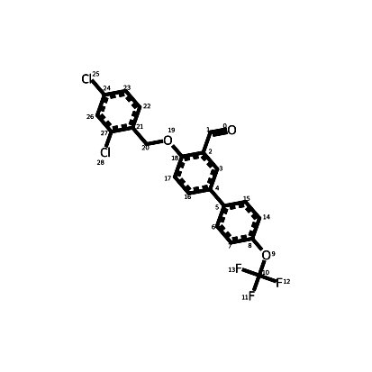 O=Cc1cc(-c2ccc(OC(F)(F)F)cc2)ccc1OCc1ccc(Cl)cc1Cl